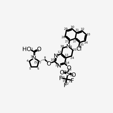 O=C(O)N1CCC[C@H]1COc1nc2c(c(OS(=O)(=O)C(F)(F)F)n1)CCN(c1cccc3cccc(Cl)c13)C2